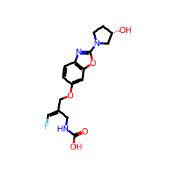 O=C(O)NC/C(=C\F)COc1ccc2nc(N3CC[C@H](O)C3)oc2c1